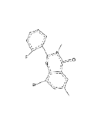 Cc1cc(Br)c2nc(-c3ccccc3F)n(C)c(=O)c2c1